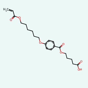 C=CC(=O)OCCCCCCOc1ccc(C(=O)OCCCCC(=O)O)cc1